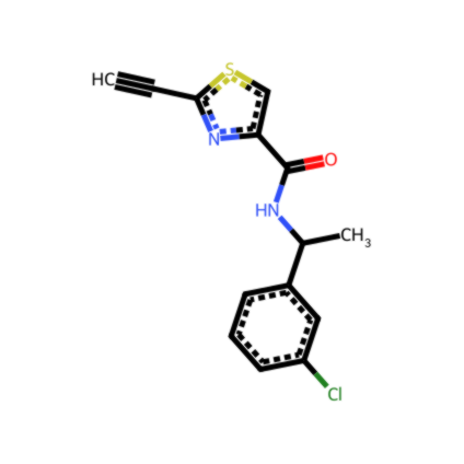 C#Cc1nc(C(=O)NC(C)c2cccc(Cl)c2)cs1